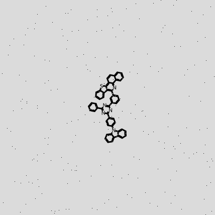 c1ccc(-c2nc(-c3ccc(-n4c5ccccc5c5ccccc54)cc3)nc(-c3cccc(-c4nc5c6ccccc6ccc5c5sc6ccccc6c45)c3)n2)cc1